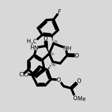 COC(=O)COc1ccc(Cl)cc1[C@H]1CC(=O)N[C@@H](c2cc(F)ccc2C)[C@]12C(=O)Nc1cc(Cl)ccc12